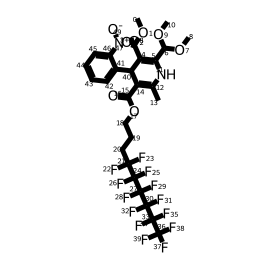 COC(=O)C1=C(C(OC)OC)NC(C)=C(C(=O)OCCCC(F)(F)C(F)(F)C(F)(F)C(F)(F)C(F)(F)C(F)(F)F)C1c1ccccc1[N+](=O)[O-]